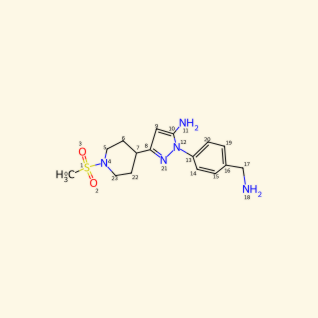 CS(=O)(=O)N1CCC(c2cc(N)n(-c3ccc(CN)cc3)n2)CC1